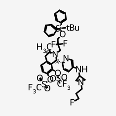 C[C@@H]1Cc2ccc(OS(=O)(=O)C(F)(F)F)c(OS(=O)(=O)C(F)(F)F)c2[C@@H](c2ccc(NC3CN(CCCF)C3)cn2)N1CC(F)(F)CO[Si](c1ccccc1)(c1ccccc1)C(C)(C)C